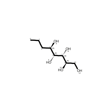 CCC[C@@H](O)[C@@H](O)[C@H](O)[C@H](O)CO